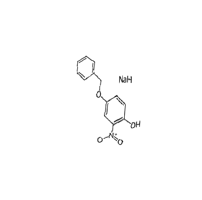 O=[N+]([O-])c1cc(OCc2ccccc2)ccc1O.[NaH]